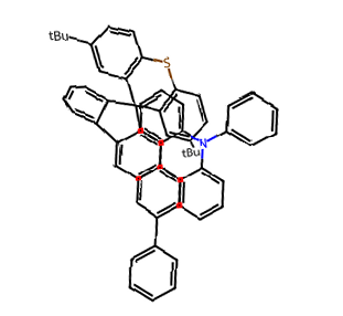 CC(C)(C)c1ccc2c(c1)C1(c3cc(C(C)(C)C)ccc3S2)c2ccccc2-c2ccc(-c3ccccc3N(c3ccccc3)c3ccccc3-c3ccc(-c4ccccc4)cc3)cc21